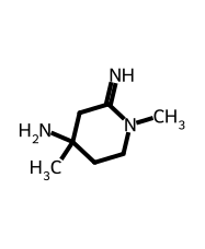 CN1CCC(C)(N)CC1=N